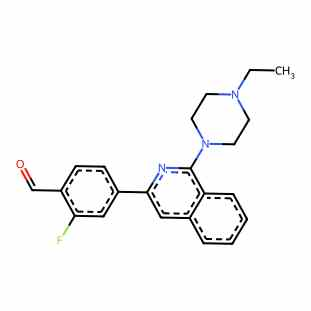 CCN1CCN(c2nc(-c3ccc(C=O)c(F)c3)cc3ccccc23)CC1